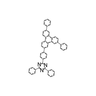 c1ccc(-c2ccc3c4ccc(-c5ccc(-c6nc(-c7ccccc7)nc(-c7ccccc7)n6)cc5)cc4c4cc(-c5ccccc5)ccc4c3c2)cc1